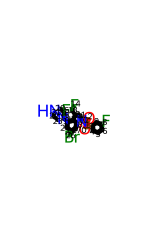 O=S(=O)(c1cccc(F)c1)n1cc(C(F)F)c2c(N3CCNCC3)cc(Br)cc21